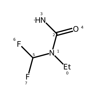 CCN(C([NH])=O)C(F)F